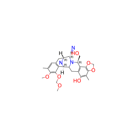 COCOc1c(OC)c(C)cc2c1[C@@H]1C3Cc4c(O)c(C)c5c(c4[C@H](CO)N3[C@@H](C#N)[C@@H](C2)N1C)OCO5